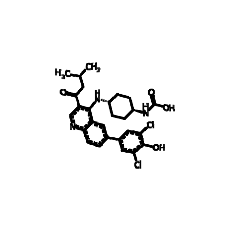 CC(C)CC(=O)c1cnc2ccc(-c3cc(Cl)c(O)c(Cl)c3)cc2c1N[C@H]1CC[C@H](NC(=O)O)CC1